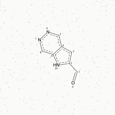 O=Cc1cc2cnncc2[nH]1